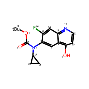 CC(C)(C)OC(=O)N(c1cc2c(O)ccnc2cc1F)C1CC1